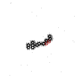 c1ccc2c(-c3c4ccccc4c(-c4ccc5cc(-c6ccc7oc8c(ccc9c8oc8ccc%10ccccc%10c89)c7c6)ccc5c4)c4ccccc34)cccc2c1